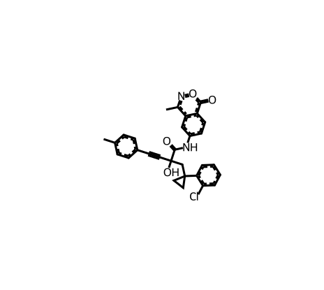 Cc1ccc(C#CC(O)(CC2(c3ccccc3Cl)CC2)C(=O)Nc2ccc3c(=O)onc(C)c3c2)cc1